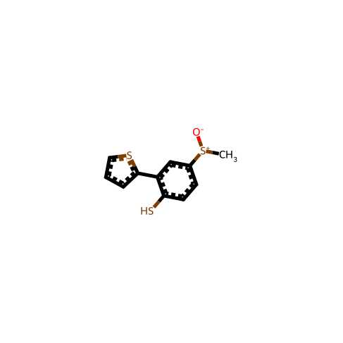 C[S+]([O-])c1ccc(S)c(-c2cccs2)c1